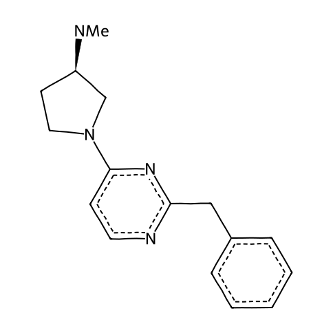 CN[C@@H]1CCN(c2ccnc(Cc3ccccc3)n2)C1